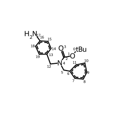 CC(C)(C)OC(=O)N(Cc1ccccc1)Cc1ccc(N)cc1